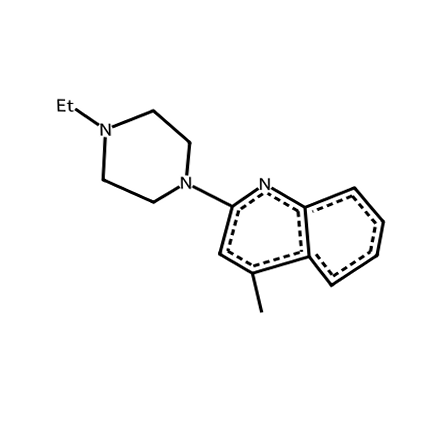 CCN1CCN(c2cc(C)c3ccccc3n2)CC1